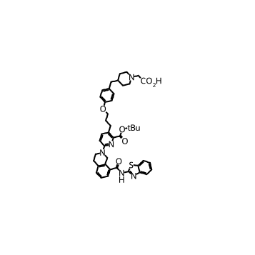 CC(C)(C)OC(=O)c1nc(N2CCc3cccc(C(=O)Nc4nc5ccccc5s4)c3C2)ccc1CCCOc1ccc(CC2CCN(CC(=O)O)CC2)cc1